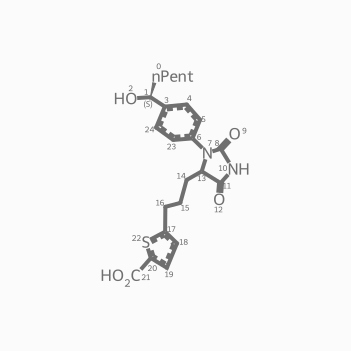 CCCCC[C@H](O)c1ccc(N2C(=O)NC(=O)C2CCCc2ccc(C(=O)O)s2)cc1